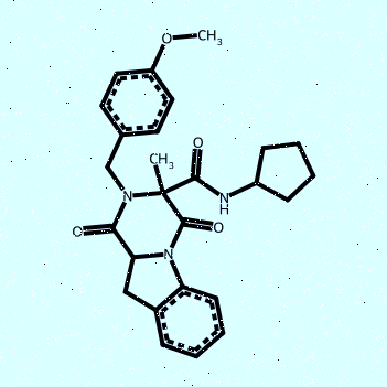 COc1ccc(CN2C(=O)C3Cc4ccccc4N3C(=O)C2(C)C(=O)NC2CCCC2)cc1